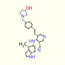 Cc1c(Nc2c(C#N)cncc2C=Cc2ccc(CN3CCC(O)C3)cc2)ccc2[nH]ccc12